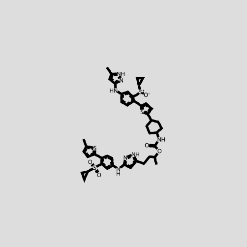 Cc1cc(Nc2ccc(-c3ccc(C4CCC(NC(=O)OC(C)CCc5cc(Nc6ccc(-c7ccc(C)s7)c(S(=O)(=O)C7CC7)c6)n[nH]5)CC4)s3)c([S+]([O-])C3CC3)c2)n[nH]1